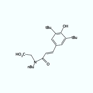 CCCCN(CC(=O)O)C(=O)C=Cc1cc(C(C)(C)C)c(O)c(C(C)(C)C)c1